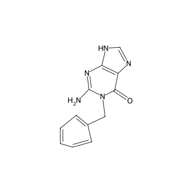 Nc1nc2[nH]cnc2c(=O)n1Cc1ccccc1